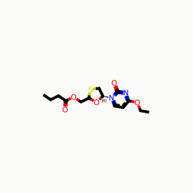 CCCC(=O)OCC1O[C@@H](n2ccc(OCC)nc2=O)CS1